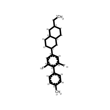 CCC1CCC2CC(c3cc(F)c(-c4ccc(C)cc4)c(F)c3)CCC2C1